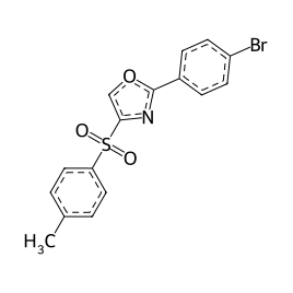 Cc1ccc(S(=O)(=O)c2coc(-c3ccc(Br)cc3)n2)cc1